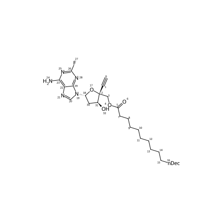 C#C[C@]1(COC(=O)CCCCCCCCCCCCCCCCCCC)O[C@@H](n2cnc3c(N)nc(F)nc32)C[C@@H]1O